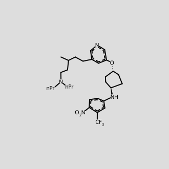 CCCN(CCC)CCC(C)CCc1cncc(O[C@H]2CC[C@H](Nc3ccc([N+](=O)[O-])c(C(F)(F)F)c3)CC2)c1